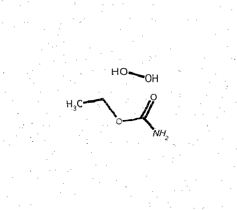 CCOC(N)=O.OO